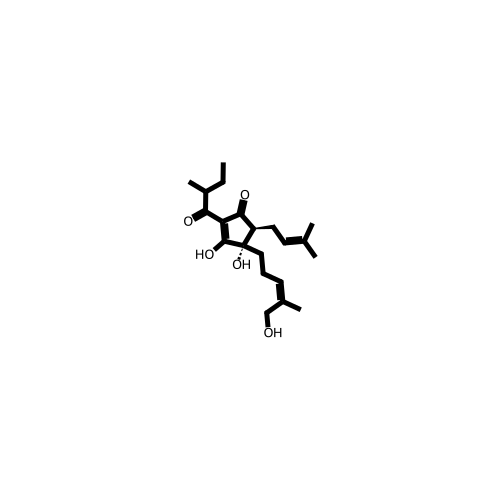 CCC(C)C(=O)C1=C(O)[C@](O)(CCC=C(C)CO)[C@H](CC=C(C)C)C1=O